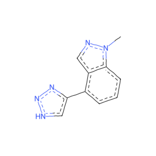 Cn1ncc2c(-c3c[nH]nn3)cccc21